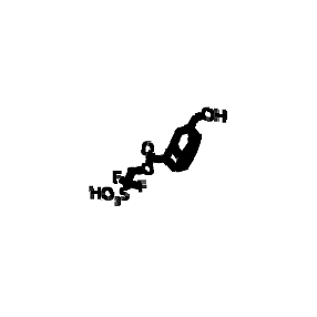 O=C(OCC(F)(F)S(=O)(=O)O)C1C2CC3CC1CC(CO)(C3)C2